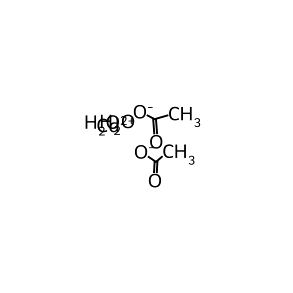 CC(=O)[O-].CC(=O)[O-].O.O.[Cd+2]